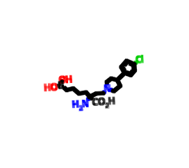 NC(CCCCB(O)O)(CCN1CCC(c2ccc(Cl)cc2)CC1)C(=O)O